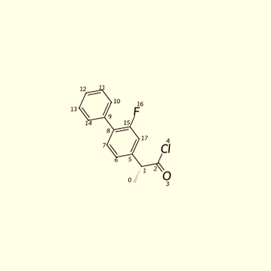 C[C@@H](C(=O)Cl)c1ccc(-c2ccccc2)c(F)c1